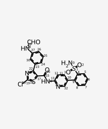 NS(=O)(=O)c1ccccc1-c1ccc(NC(=O)c2sc(Cl)nc2-c2cccc(NC=O)c2)nc1